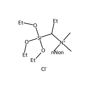 CCCCCCCCC[N+](C)(C)C(CC)[Si](OCC)(OCC)OCC.[Cl-]